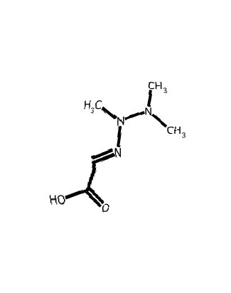 CN(C)N(C)N=CC(=O)O